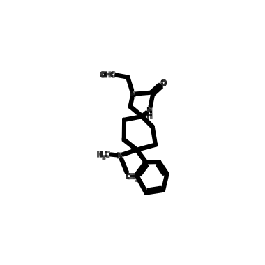 CN(C)C1(c2ccccc2)CCC2(CC1)CN(CC=O)C(=O)N2